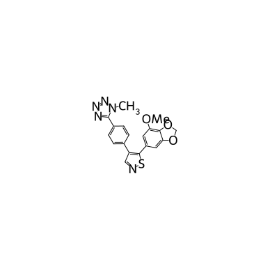 COc1cc(-c2sncc2-c2ccc(-c3nnnn3C)cc2)cc2c1OCO2